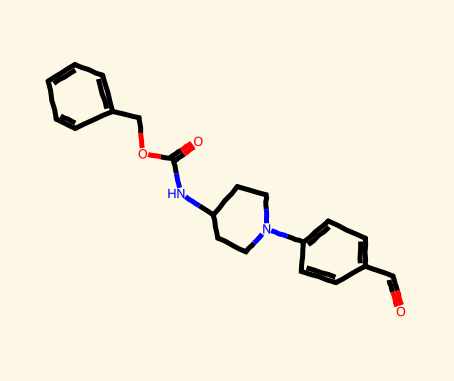 O=Cc1ccc(N2CCC(NC(=O)OCc3ccccc3)CC2)cc1